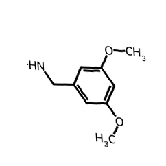 COc1cc(C[NH])cc(OC)c1